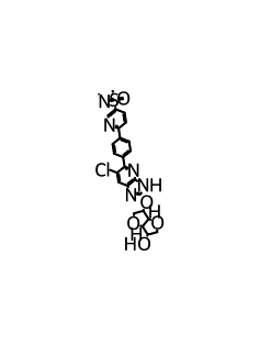 CN=S(C)(=O)c1ccc(-c2ccc(-c3nc4[nH]c(O[C@@H]5CO[C@H]6[C@@H]5OC[C@H]6O)nc4cc3Cl)cc2)nc1